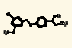 CCOC(CC(=O)O)c1ccc(OCc2cc(Cl)cc(OC(F)(F)F)c2)cc1